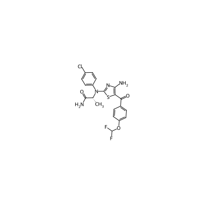 C[C@H](C(N)=O)N(c1ccc(Cl)cc1)c1nc(N)c(C(=O)c2ccc(OC(F)F)cc2)s1